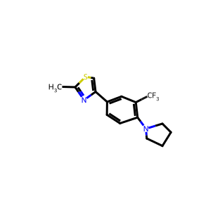 Cc1nc(-c2ccc(N3CCCC3)c(C(F)(F)F)c2)cs1